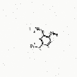 C=Nc1ccc(CC(C)C)cc1SN